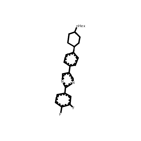 CCCCCCC1CCC(c2ccc(-c3cnc(-c4ccc(F)c(F)c4)nc3)cc2)CC1